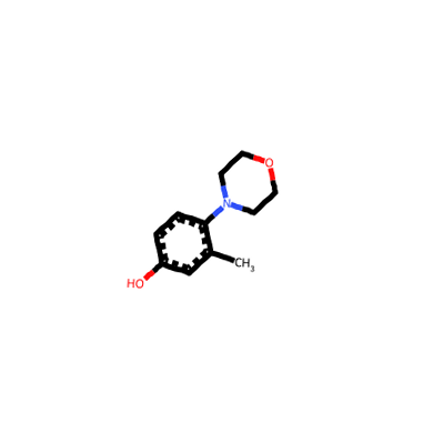 Cc1cc(O)ccc1N1CCOCC1